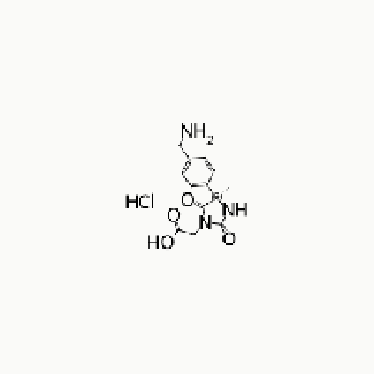 C[C@]1(c2ccc(CN)cc2)NC(=O)N(CC(=O)O)C1=O.Cl